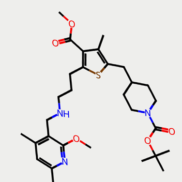 COC(=O)c1c(CCCNCc2c(C)cc(C)nc2OC)sc(CC2CCN(C(=O)OC(C)(C)C)CC2)c1C